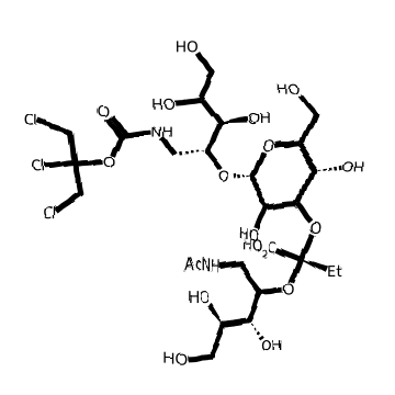 CC[C@@](OC1C(O)[C@H](O[C@H](CNC(=O)OC(Cl)(CCl)CCl)[C@H](O)C(O)CO)OC(CO)[C@@H]1O)(OC(CNC(C)=O)[C@H](O)[C@H](O)CO)C(=O)O